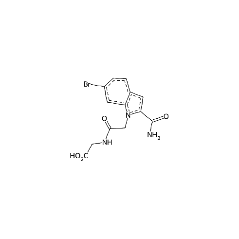 NC(=O)c1cc2ccc(Br)cc2n1CC(=O)NCC(=O)O